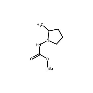 CCCCOC(=O)NN1CCCC1C